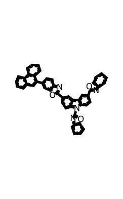 c1ccc2c(c1)cc(-c1ccc3nc(-c4ccc5c(c4)c4cc(-c6nc7ccccc7o6)ccc4n5-c4nc5ccccc5o4)oc3c1)c1ccccc12